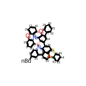 CCCCc1ccc(N2B3c4cccc5c4N(c4ccccc4O5)c4c3c(cc3c4oc4ccccc43)-c3cc4c(cc32)Sc2ccccc2S4)c(-c2ccccc2)c1